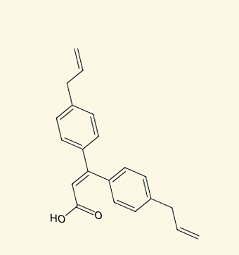 C=CCc1ccc(C(=CC(=O)O)c2ccc(CC=C)cc2)cc1